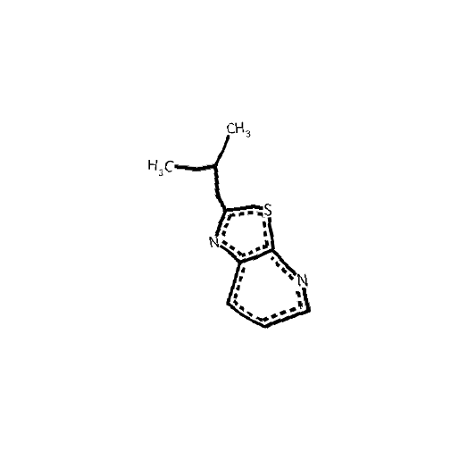 CC(C)c1nc2cccnc2s1